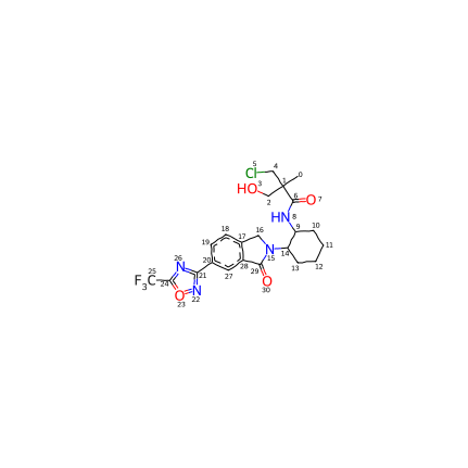 CC(CO)(CCl)C(=O)NC1CCCCC1N1Cc2ccc(-c3noc(C(F)(F)F)n3)cc2C1=O